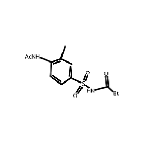 CCC(=O)NS(=O)(=O)c1ccc(NC(C)=O)c(C)c1